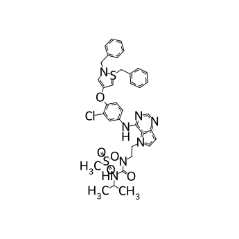 CC(C)NC(=O)N(CCn1ccc2ncnc(Nc3ccc(OC4=CN(Cc5ccccc5)S(Cc5ccccc5)=C4)c(Cl)c3)c21)OS(C)(=O)=O